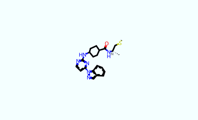 CSC[C@H](C)NC(=O)C1CCC(Nc2nccc(-n3ncc4ccccc43)n2)CC1